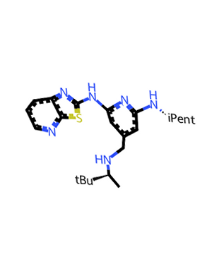 CCC[C@@H](C)Nc1cc(CN[C@@H](C)C(C)(C)C)cc(Nc2nc3cccnc3s2)n1